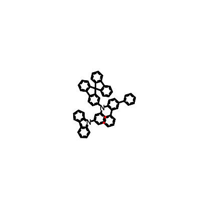 c1ccc(-c2ccc(N(c3cccc(-n4c5ccccc5c5ccccc54)c3)c3ccc4c(c3)C3(c5ccccc5-c5ccccc53)c3ccccc3-4)c(-c3ccccc3)c2)cc1